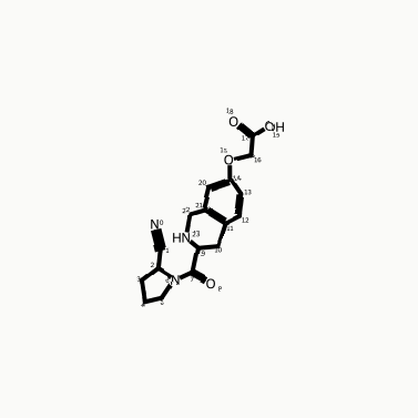 N#CC1CCCN1C(=O)C1Cc2ccc(OCC(=O)O)cc2CN1